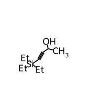 CC[Si](C#CC(C)O)(CC)CC